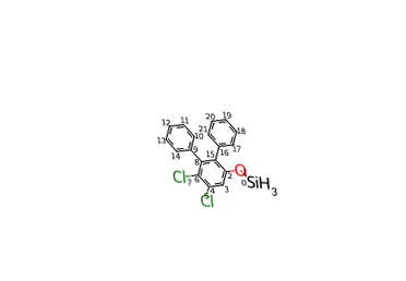 [SiH3]Oc1cc(Cl)c(Cl)c(-c2ccccc2)c1-c1ccccc1